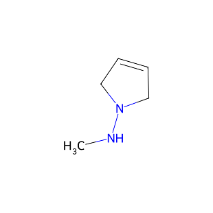 CNN1CC=CC1